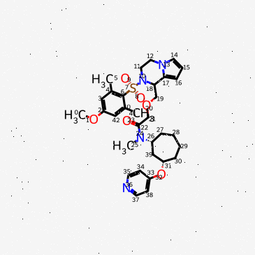 COc1cc(C)c(S(=O)(=O)N2CCn3cccc3C2COCC(=O)N(C)[C@@H]2CCCC[C@H](Oc3ccncc3)C2)c(C)c1